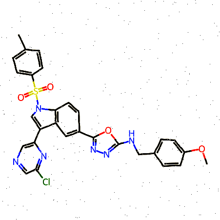 COc1ccc(CNc2nnc(-c3ccc4c(c3)c(-c3cncc(Cl)n3)cn4S(=O)(=O)c3ccc(C)cc3)o2)cc1